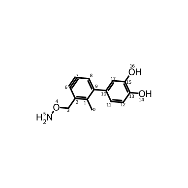 Cc1c(CON)c#ccc1-c1ccc(O)c(O)c1